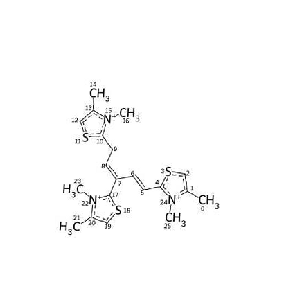 Cc1csc(/C=C/C(=C\Cc2scc(C)[n+]2C)c2scc(C)[n+]2C)[n+]1C